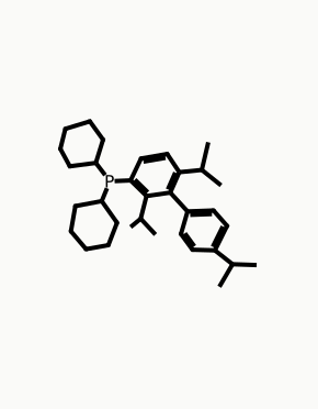 CC(C)c1ccc(-c2c(C(C)C)ccc(P(C3CCCCC3)C3CCCCC3)c2C(C)C)cc1